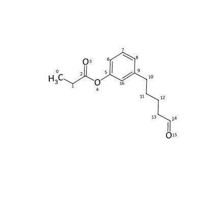 CCC(=O)Oc1cccc(CCCC[C]=O)c1